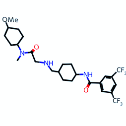 COC1CCC(N(C)C(=O)CNCC2CCC(NC(=O)c3cc(C(F)(F)F)cc(C(F)(F)F)c3)CC2)CC1